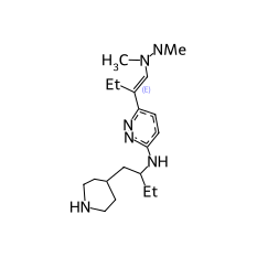 CC/C(=C\N(C)NC)c1ccc(NC(CC)CC2CCNCC2)nn1